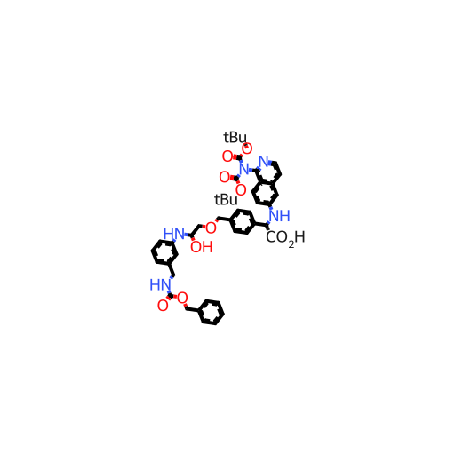 CC(C)(C)OC(=O)N(C(=O)OC(C)(C)C)c1nccc2cc(NC(C(=O)O)c3ccc(COCC(O)Nc4cccc(CNC(=O)OCc5ccccc5)c4)cc3)ccc12